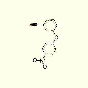 C#Cc1cccc(Oc2ccc([N+](=O)[O-])cc2)c1